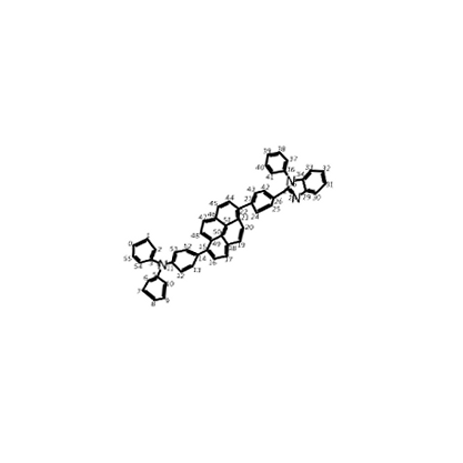 c1ccc(N(c2ccccc2)c2ccc(-c3ccc4ccc5c(-c6ccc(-c7nc8ccccc8n7-c7ccccc7)cc6)ccc6ccc3c4c65)cc2)cc1